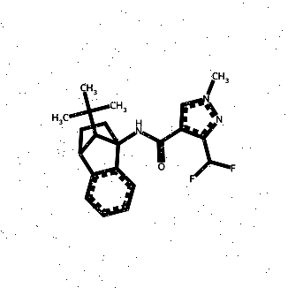 Cn1cc(C(=O)NC23CCC(c4ccccc42)C3C(C)(C)C)c(C(F)F)n1